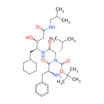 CC(C)CNC(=O)C[C@H](O)[C@H](CC1CCCCC1)NC(=O)[C@H](CC(C)C)N(C(=O)OC(C)(C)C)C(=O)[C@@H](N)Cc1ccccc1